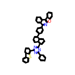 c1ccc(-c2nc(-c3cccc4c(-c5ccc(-c6nc7oc8ccccc8c7c7ccccc67)cc5)cccc34)nc(-c3cccc4c3sc3ccccc34)n2)cc1